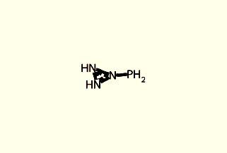 Pn1[nH][nH]1